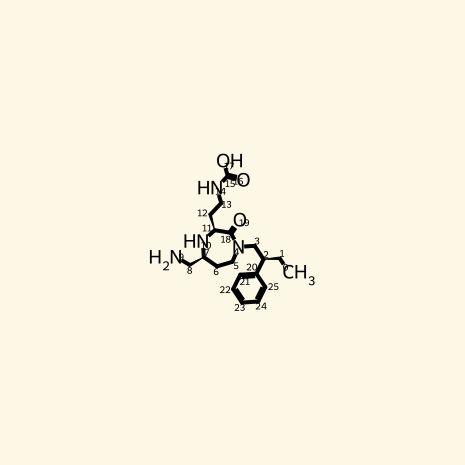 CC[C@H](CN1CC[C@@H](CN)N[C@@H](CCNC(=O)O)C1=O)c1ccccc1